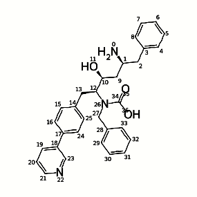 N[C@@H](Cc1ccccc1)C[C@H](O)[C@H](Cc1ccc(-c2cccnc2)cc1)N(Cc1ccccc1)C(=O)O